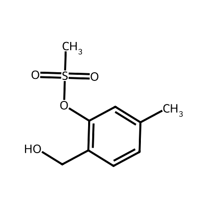 Cc1ccc(CO)c(OS(C)(=O)=O)c1